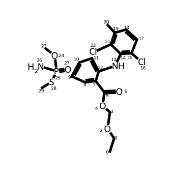 CCOCOC(=O)c1ccccc1Nc1c(Cl)ccc(C)c1Cl.COP(N)(=O)SC